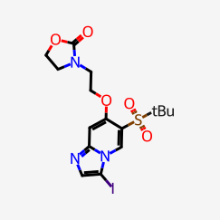 CC(C)(C)S(=O)(=O)c1cn2c(I)cnc2cc1OCCN1CCOC1=O